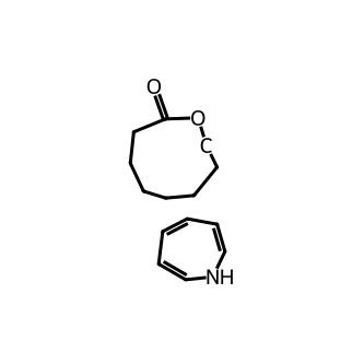 C1=CC=CNC=C1.O=C1CCCCCCCO1